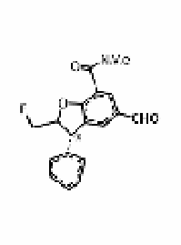 CNC(=O)c1cc(C=O)cc2c1OC(CF)[C@H]2c1ccccc1